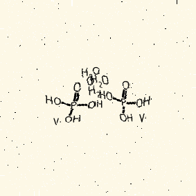 O.O.O.O=P(O)(O)O.O=P(O)(O)O.[V].[V]